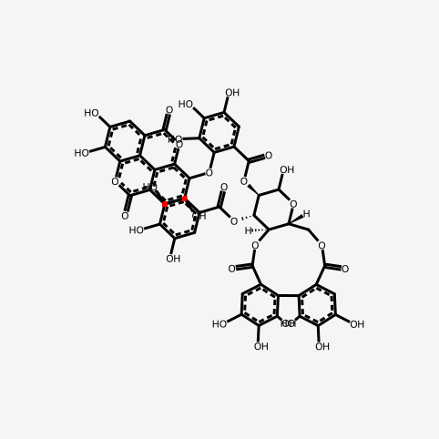 O=C(O[C@H]1[C@@H]2OC(=O)c3cc(O)c(O)c(O)c3-c3c(cc(O)c(O)c3O)C(=O)OC[C@H]2OC(O)[C@@H]1OC(=O)c1cc(O)c(O)c(O)c1Oc1c(O)cc2c(=O)oc3c(O)c(O)cc4c(=O)oc1c2c34)c1cc(O)c(O)c(O)c1